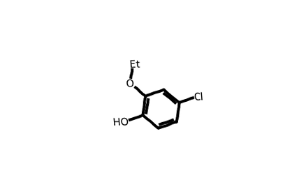 CCOc1cc(Cl)ccc1O